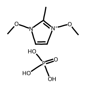 COn1cc[n+](OC)c1C.O=P(O)(O)O